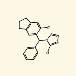 Clc1cc2c(cc1C(c1ccccc1)n1ccnc1Cl)CCC2